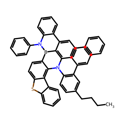 CCCCc1ccc(N2c3cc(-c4ccccc4)cc4c3B(c3ccc5sc6ccccc6c5c32)N(c2ccccc2)c2ccccc2-4)c(-c2ccccc2)c1